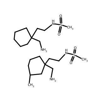 CC1CCCC(CN)(CCNS(C)(=O)=O)C1.CS(=O)(=O)NCCC1(CN)CCCCC1